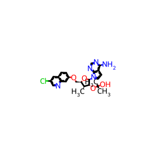 C[C@H]1[C@@H](OC(C)(C)O)[C@H](n2ccc3c(N)ncnc32)O[C@@H]1COc1ccc2cc(Cl)cnc2c1